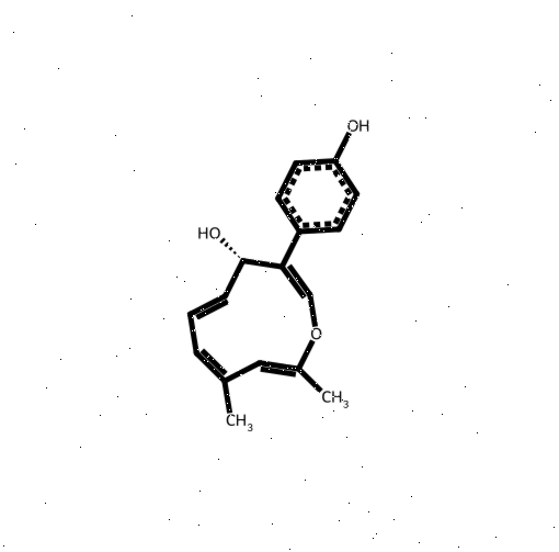 CC1=C/C=C/[C@H](O)/C(c2ccc(O)cc2)=C\O\C(C)=C\1